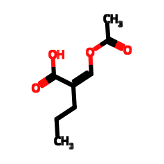 CCCC(=COC(C)=O)C(=O)O